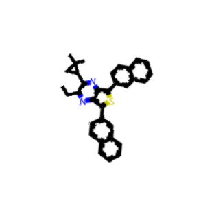 CCc1nc2c(-c3ccc4ccccc4c3)sc(-c3ccc4ccccc4c3)c2nc1C1CC1(C)C